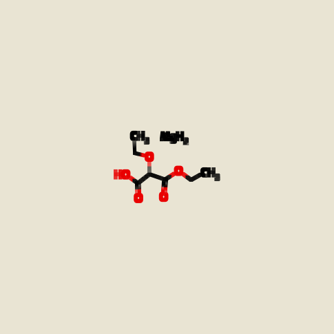 CCOC(=O)C(OCC)C(=O)O.[MgH2]